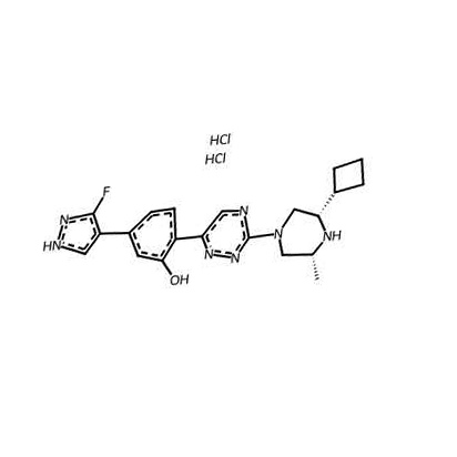 C[C@@H]1CN(c2ncc(-c3ccc(-c4c[nH]nc4F)cc3O)nn2)C[C@H](C2CCC2)N1.Cl.Cl